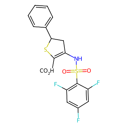 O=C(O)C1=C(NS(=O)(=O)c2c(F)cc(F)cc2F)CC(c2ccccc2)S1